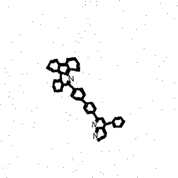 c1ccc(-c2cc(-c3ccc(-c4ccc(-c5nc6c7ccccc7c7ccccc7c6c6ccccc56)cc4)cc3)nc3ncccc23)cc1